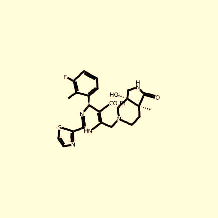 CCOC(=O)C1=C(CN2CC[C@]3(C)C(=O)NC[C@]3(O)C2)NC(c2nccs2)=N[C@H]1c1cccc(F)c1C